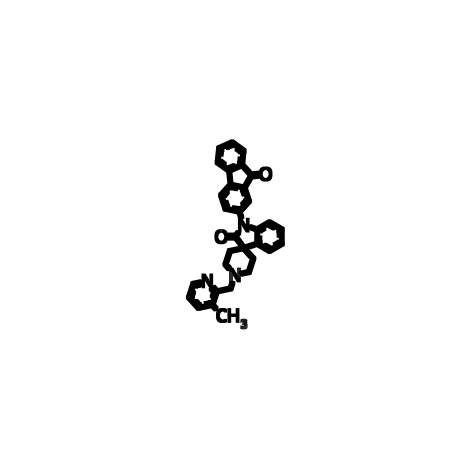 Cc1cccnc1CN1CCC2(CC1)C(=O)N(c1ccc3c(c1)C(=O)c1ccccc1-3)c1ccccc12